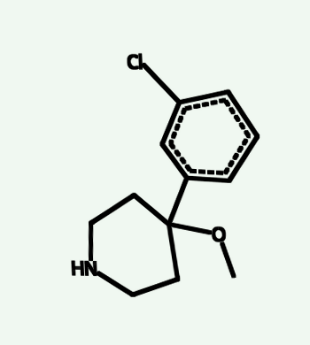 COC1(c2cccc(Cl)c2)CCNCC1